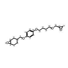 c1cc(OCC2CCC3OC3C2)ccc1OCCCCOCC1CO1